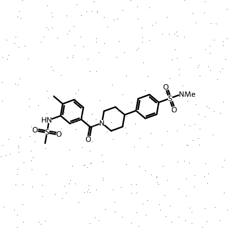 CNS(=O)(=O)c1ccc(C2CCN(C(=O)c3ccc(C)c(NS(C)(=O)=O)c3)CC2)cc1